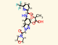 CC(Oc1cc2nn(CC(=O)N3CCOCC3)cc2cc1NC(=O)c1cccc(C(F)(F)F)n1)C(=O)O